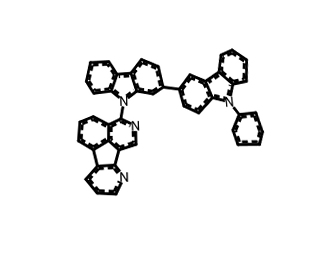 c1ccc(-n2c3ccccc3c3cc(-c4ccc5c6ccccc6n(-c6ncc7c8c(cccc68)-c6cccnc6-7)c5c4)ccc32)cc1